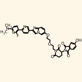 CN(C)c1ccc(-c2ccc(-c3cn4cc(OCCOCCN5C(=O)CCC(N6C(=O)c7ccc(O)cc7C6=O)C5=O)ccc4n3)cn2)c(F)n1